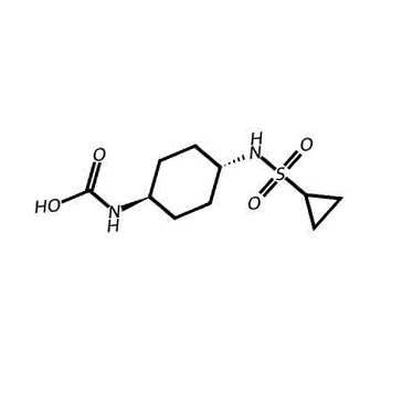 O=C(O)N[C@H]1CC[C@H](NS(=O)(=O)C2CC2)CC1